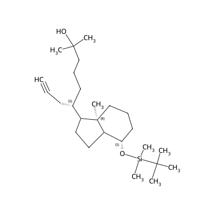 C#CC[C@H](CCCC(C)(C)O)C1CCC2[C@@H](O[Si](C)(C)C(C)(C)C)CCC[C@]12C